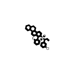 C=CC(c1cccc(Cl)c1)S(=O)(=O)c1ccc2c3c(ccc2c1-c1ccccc1F)C1=C(CCC=C1)CC3